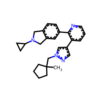 CC1(Cn2cc(-c3cccnc3-c3ccc4c(c3)CN(C3CC3)C4)cn2)CCCC1